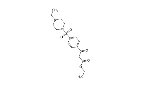 CCOC(=O)CC(=O)c1ccc(S(=O)(=O)N2CCN(CC)CC2)cc1